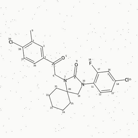 Cc1cc(C(=O)CN2C(=O)N(c3ccc(Cl)cc3F)CC23CCCCC3)ccc1Cl